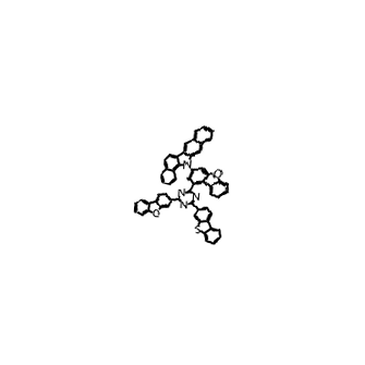 c1ccc2cc3c(cc2c1)c1ccc2ccccc2c1n3-c1cc(-c2nc(-c3ccc4c(c3)oc3ccccc34)nc(-c3ccc4c(c3)sc3ccccc34)n2)c2c(c1)oc1ccccc12